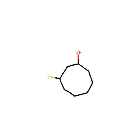 [O]C1CCCCCC(F)C1